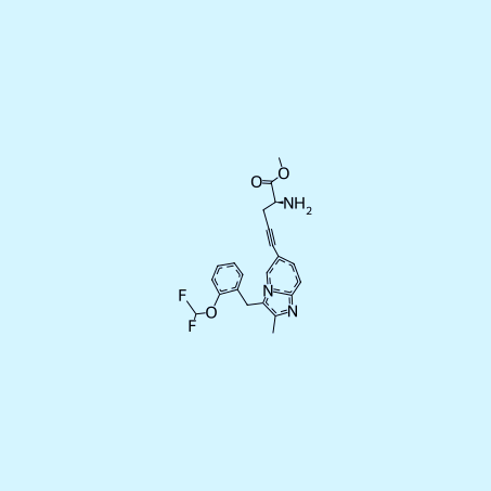 COC(=O)[C@@H](N)CC#Cc1ccc2nc(C)c(Cc3ccccc3OC(F)F)n2c1